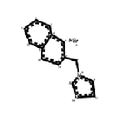 Br.c1ccc2cc(Cn3ccnc3)ccc2c1